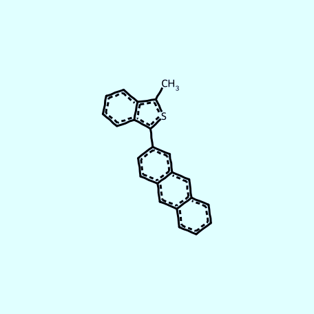 Cc1sc(-c2ccc3cc4ccccc4cc3c2)c2ccccc12